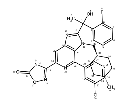 CC(O)(c1ccccc1F)c1nc2cc(-c3noc(=O)[nH]3)nc(-c3cncc(Cl)c3)c2n1C[C@H]1CC[C@H](C)CC1